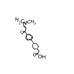 CN(C)/C=C/C(=O)c1ccc(C2CCC(CC(=O)O)CC2)cc1